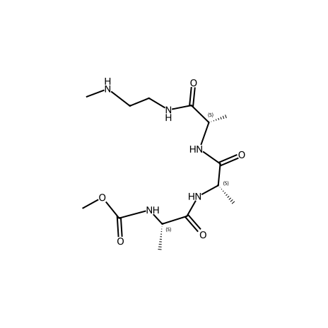 CNCCNC(=O)[C@H](C)NC(=O)[C@H](C)NC(=O)[C@H](C)NC(=O)OC